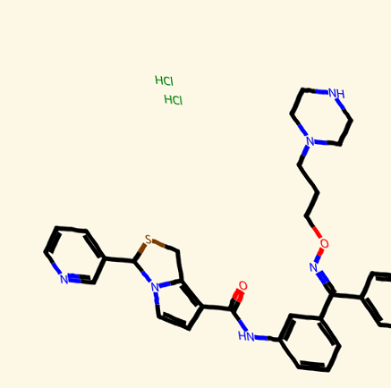 Cl.Cl.O=C(Nc1cccc(C(=NOCCCN2CCNCC2)c2ccccc2)c1)c1ccn2c1CSC2c1cccnc1